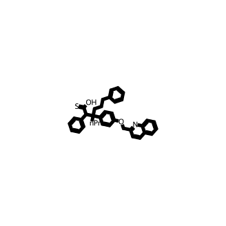 CCCC(CCCc1ccccc1)(c1ccc(OCc2ccc3ccccc3n2)cc1)C(C(O)=S)c1ccccc1